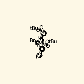 CC(C)(C)OC(=O)N1CCCC(c2cc(N(C(=O)OC(C)(C)C)c3ccc(-n4ccnc4)cc3)n3ncc(Br)c3n2)C1